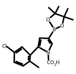 Cc1ccc(Cl)cc1-c1cc(B2OC(C)(C)C(C)(C)O2)cn1C(=O)O